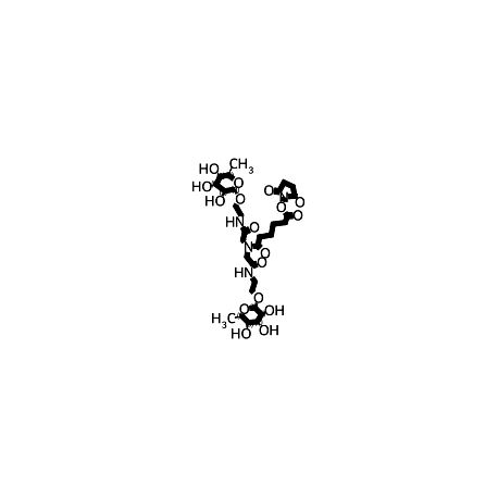 C[C@@H]1O[C@@H](OCCNC(=O)CN(CC(=O)NCCO[C@@H]2O[C@@H](C)[C@@H](O)[C@@H](O)[C@@H]2O)C(=O)CCCCC(=O)ON2C(=O)CCC2=O)[C@@H](O)[C@H](O)[C@@H]1O